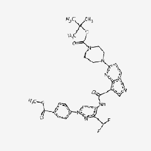 COC(=O)c1ccc(-n2cc(NC(=O)c3cnn4ccc(N5CCN(C(=O)OC(C)(C)C)CC5)nc34)c(C(F)F)n2)cc1